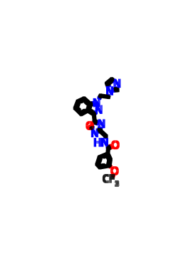 O=C(NCc1noc(-c2nn(CCn3ccnc3)c3ccccc23)n1)c1cccc(OC(F)(F)F)c1